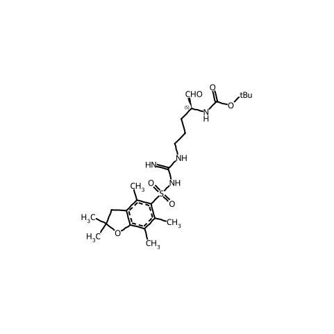 Cc1c(C)c(S(=O)(=O)NC(=N)NCCC[C@@H](C=O)NC(=O)OC(C)(C)C)c(C)c2c1OC(C)(C)C2